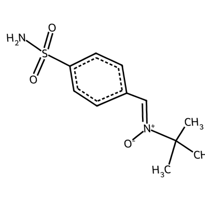 CC(C)(C)[N+]([O-])=Cc1ccc(S(N)(=O)=O)cc1